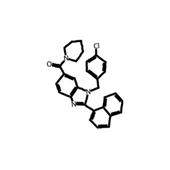 O=C(c1ccc2nc(-c3cccc4ccccc34)n(Cc3ccc(Cl)cc3)c2c1)N1CCCCC1